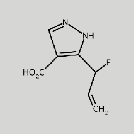 C=CC(F)c1[nH]ncc1C(=O)O